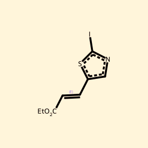 CCOC(=O)/C=C/c1cnc(I)s1